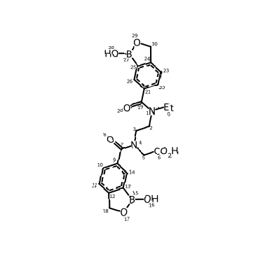 CCN(CCN(CC(=O)O)C(=O)c1ccc2c(c1)B(O)OC2)C(=O)c1ccc2c(c1)B(O)OC2